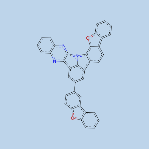 c1ccc2nc3c(nc2c1)c1cc(-c2ccc4oc5ccccc5c4c2)cc2c4ccc5c6ccccc6oc5c4n3c21